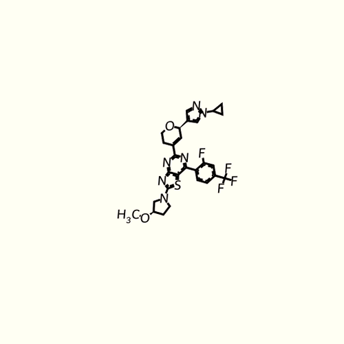 CO[C@@H]1CCN(c2nc3nc(C4=C[C@H](c5cnn(C6CC6)c5)OCC4)nc(-c4ccc(C(F)(F)F)cc4F)c3s2)C1